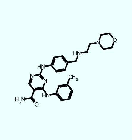 Cc1cccc(Nc2nc(Nc3ccc(CNCCN4CCOCC4)cc3)ncc2C(N)=O)c1